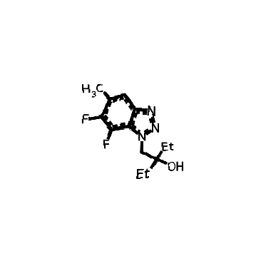 CCC(O)(CC)Cn1nnc2cc(C)c(F)c(F)c21